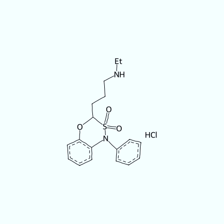 CCNCCCC1Oc2ccccc2N(c2ccccc2)S1(=O)=O.Cl